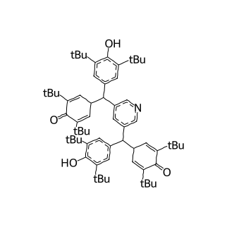 CC(C)(C)C1=CC(C(c2cncc(C(c3cc(C(C)(C)C)c(O)c(C(C)(C)C)c3)C3C=C(C(C)(C)C)C(=O)C(C(C)(C)C)=C3)c2)c2cc(C(C)(C)C)c(O)c(C(C)(C)C)c2)C=C(C(C)(C)C)C1=O